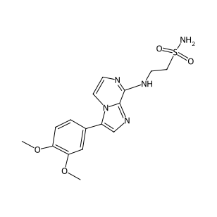 COc1ccc(-c2cnc3c(NCCS(N)(=O)=O)nccn23)cc1OC